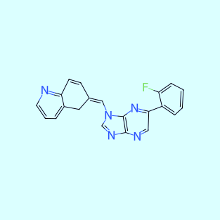 Fc1ccccc1-c1cnc2ncn(C=C3C=Cc4ncccc4C3)c2n1